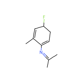 CC1=CC(F)CC=C1N=C(C)C